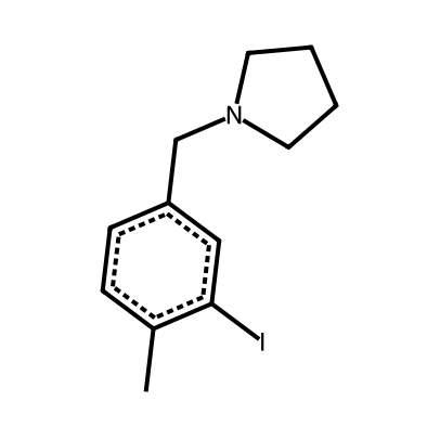 Cc1ccc(CN2CCCC2)cc1I